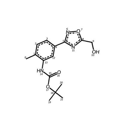 Cc1ccc(-c2noc(CO)n2)cc1NC(=O)OC(C)(C)C